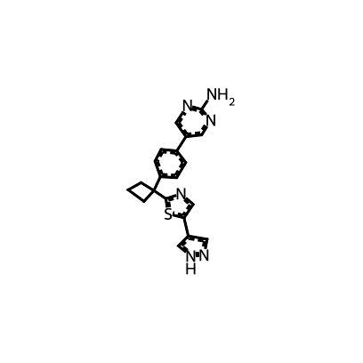 Nc1ncc(-c2ccc(C3(c4ncc(-c5cn[nH]c5)s4)CCC3)cc2)cn1